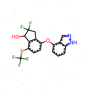 OC1c2c(SC(F)(F)F)ccc(Oc3cccc4[nH]ncc34)c2CC1(F)F